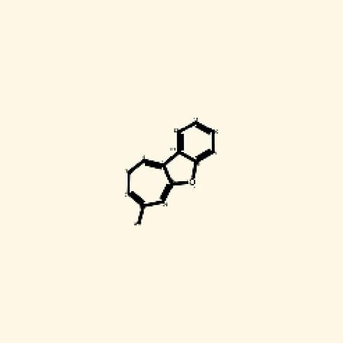 CC1=CCC=c2c(oc3ccccc23)=C1